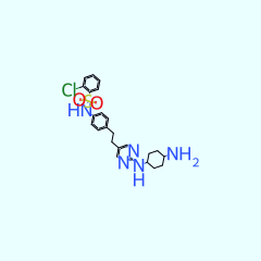 NC1CCC(Nc2ncc(CCc3ccc(NS(=O)(=O)c4ccccc4Cl)cc3)cn2)CC1